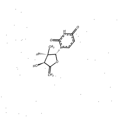 C=C1O[C@@H](n2ccc(=O)[nH]c2=O)[C@@](C)(CCC)[C@@H]1O